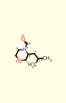 C[C](C)CC1COCCN1C=O